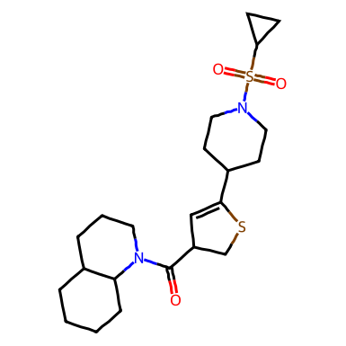 O=C(C1C=C(C2CCN(S(=O)(=O)C3CC3)CC2)SC1)N1CCCC2CCCCC21